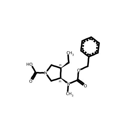 CC[C@@H]1CN(C(=O)O)C[C@@H]1N(C)C(=O)OCc1ccccc1